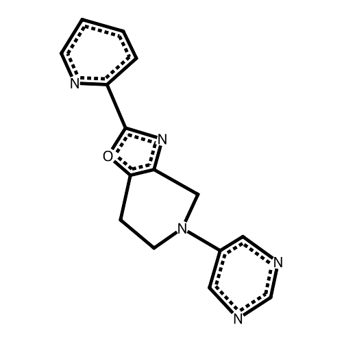 c1ccc(-c2nc3c(o2)CCN(c2cncnc2)C3)nc1